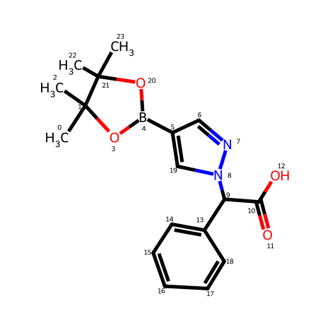 CC1(C)OB(c2cnn(C(C(=O)O)c3ccccc3)c2)OC1(C)C